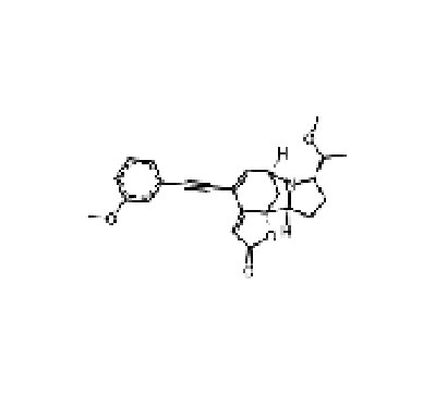 COc1cccc(C#CC2=C[C@@H]3C[C@@]4(OC(=O)C=C24)[C@H]2CC[C@H](C(C)OC)N32)c1